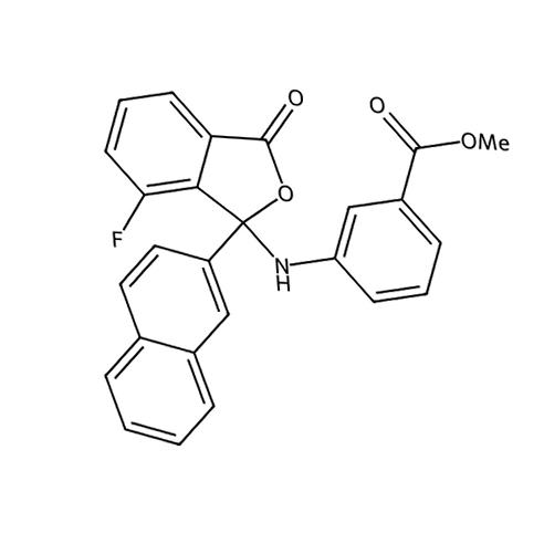 COC(=O)c1cccc(NC2(c3ccc4ccccc4c3)OC(=O)c3cccc(F)c32)c1